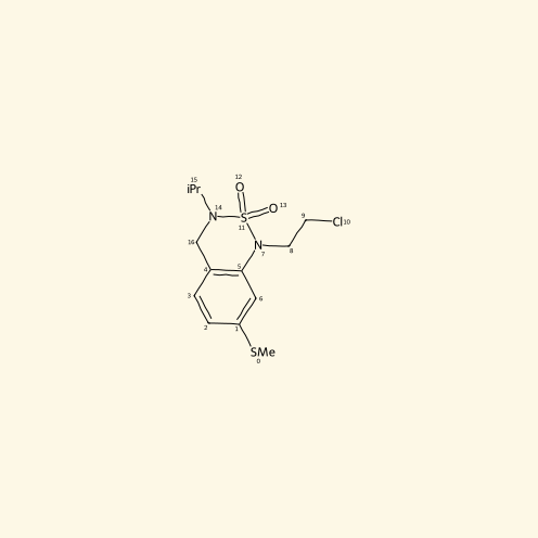 CSc1ccc2c(c1)N(CCCl)S(=O)(=O)N(C(C)C)C2